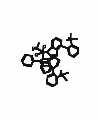 C[SiH](C)[Zr]([Cl])([Cl])([CH]1C(c2ccccc2)=Cc2c(-c3ccccc3[Si](C)(C)C)cccc21)[CH]1C(c2ccccc2)=Cc2c(-c3ccccc3[Si](C)(C)C)cccc21